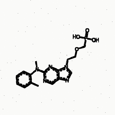 Cc1ccccc1N(C)c1ncc2ncn(CCOCP(=O)(O)O)c2n1